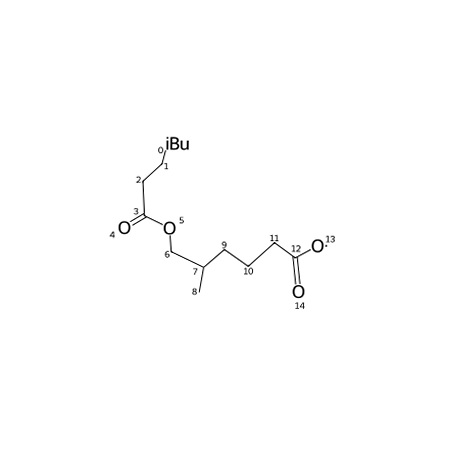 CCC(C)CCC(=O)OCC(C)CCCC([O])=O